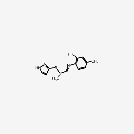 Cc1ccc(N=CN(C)Sc2cc[nH]n2)c(C)c1